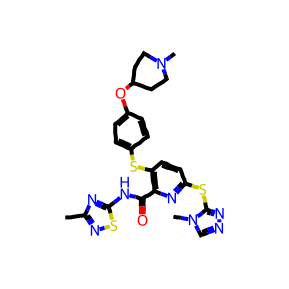 Cc1nsc(NC(=O)c2nc(Sc3nncn3C)ccc2Sc2ccc(OC3CCN(C)CC3)cc2)n1